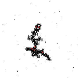 CC(C)[C@@H](NCCNC(=O)c1ccc2nc3c(nc2c1)CS[C@@H]1CCCCCC(C1)SC3)C(=O)N[C@H](CCCNC(N)=O)C(=O)Nc1ccc(COC(=O)N(C)C[C@@H]2C[C@@H](N3CCOCC3)CN2C(=O)Oc2cc3c(c4ccccc24)[C@H](CCl)CN3C(=O)c2cc3cc(NC(=O)c4ccc(OCCN(C)C)cc4)ccc3[nH]2)cc1